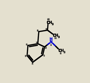 CNc1ccccc1CC(C)C